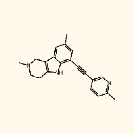 Cc1cc(C#Cc2ccc(C)nc2)c2[nH]c3c(c2c1)CN(C)CC3